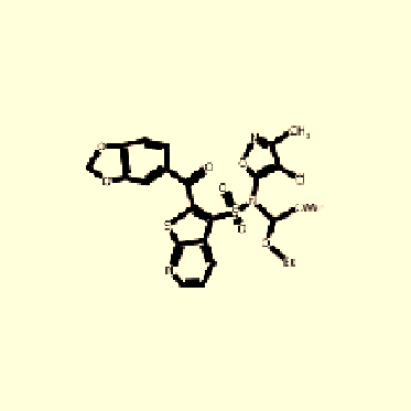 CCOC(OC)N(c1onc(C)c1Cl)S(=O)(=O)c1c(C(=O)c2ccc3c(c2)OCO3)sc2ncccc12